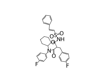 O=C(NS(=O)(=O)C=Cc1ccccc1)C(Cc1ccc(F)cc1)C(=O)N(c1ccc(F)cc1)C1CCCCC1